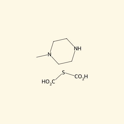 CN1CCNCC1.O=C(O)SC(=O)O